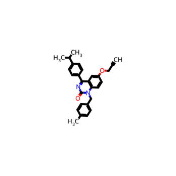 C#CCOc1ccc2c(c1)c(-c1ccc(C(C)C)cc1)nc(=O)n2Cc1ccc(C)cc1